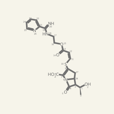 C[C@H](O)C1C(=O)N2C(C(=O)O)=C(S/C=C\C(=O)OCCNC(=N)c3ccccn3)CC12